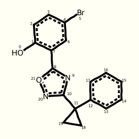 Oc1ccc(Br)cc1-c1nc(C2(c3ccccc3)CC2)no1